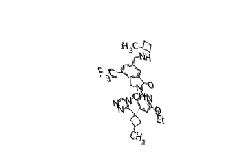 CCOc1cc([C@]2(c3nncn3C)C[C@@H](C)C2)cc(N2Cc3c(cc(CNC4(C)CCC4)cc3C(F)(F)F)C2=O)n1